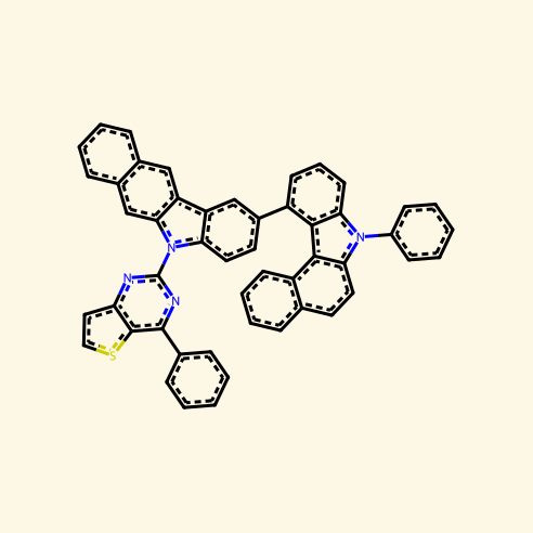 c1ccc(-c2nc(-n3c4ccc(-c5cccc6c5c5c7ccccc7ccc5n6-c5ccccc5)cc4c4cc5ccccc5cc43)nc3ccsc23)cc1